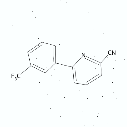 N#Cc1cccc(-c2cccc(C(F)(F)F)c2)n1